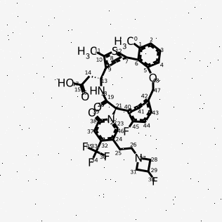 Cc1cccc2c1-c1cc(c(C)s1)[C@@H](CC(=O)O)NC(=O)[C@H](n1cc(CCN3CC(F)C3)c(C(F)(F)F)cc1=O)c1cc(ccc1F)CO2